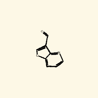 O=Cc1coc2cccnc12